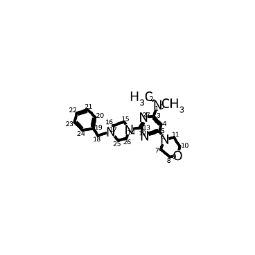 CN(C)c1cc(N2CCOCC2)nc(N2CCN(Cc3ccccc3)CC2)n1